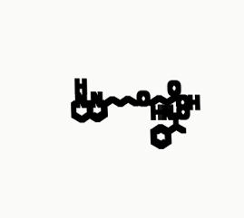 CC(C(=O)NC(CCOCCCCc1ccc2c(n1)NCCC2)C(=O)O)c1ccccc1